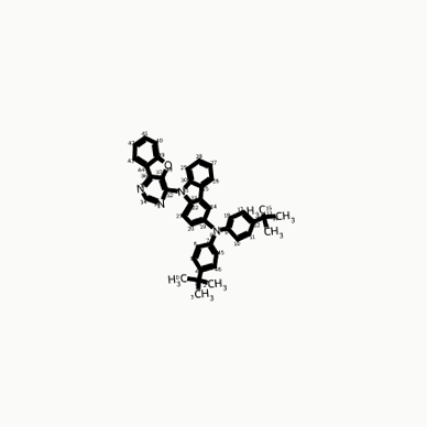 CC(C)(C)c1ccc(N(c2ccc(C(C)(C)C)cc2)c2ccc3c(c2)c2ccccc2n3-c2ncnc3c2oc2ccccc23)cc1